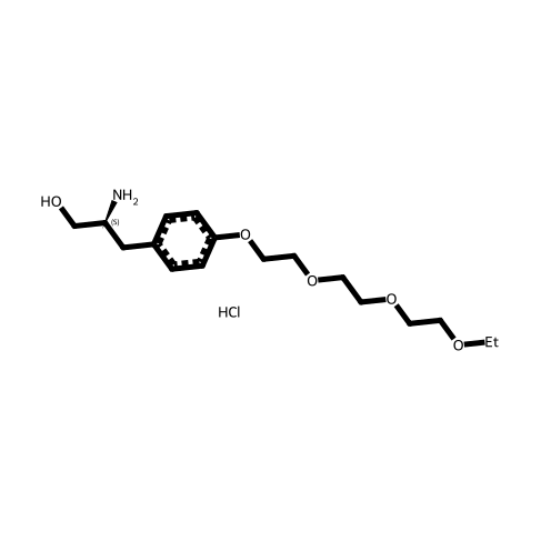 CCOCCOCCOCCOc1ccc(C[C@H](N)CO)cc1.Cl